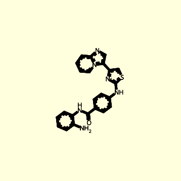 Nc1ccccc1NC(=O)c1ccc(Nc2nc(-c3cnc4ccccn34)cs2)cc1